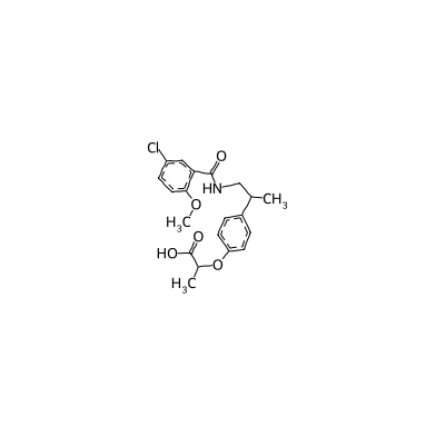 COc1ccc(Cl)cc1C(=O)NCC(C)c1ccc(OC(C)C(=O)O)cc1